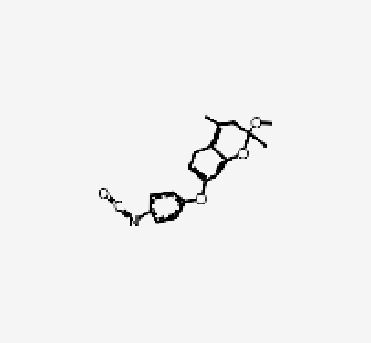 COC1(C)CC(C)=C2CC=C(Oc3ccc(N=C=O)cc3)C=C2O1